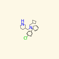 Clc1ccc(C2(N(CC3CCC3)CC3CCCNC3)C=CC=CC2)cc1